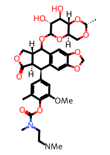 CNCCN(C)C(=O)Oc1c(C)cc([C@@H]2c3cc4c(cc3C(OC3O[C@@H]5CO[C@@H](C)O[C@H]5[C@H](O)[C@H]3O)[C@H]3COC(=O)[C@H]23)OCO4)cc1OC